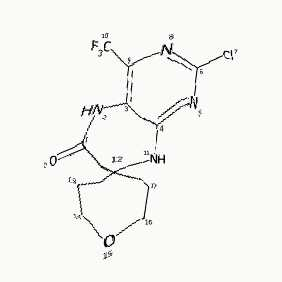 O=C1Nc2c(nc(Cl)nc2C(F)(F)F)NC12CCOCC2